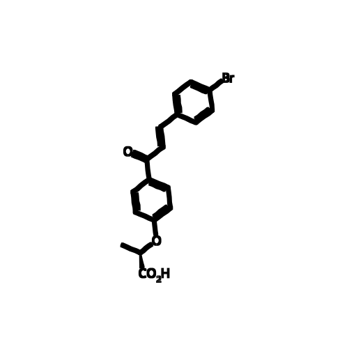 C[C@@H](Oc1ccc(C(=O)/C=C/c2ccc(Br)cc2)cc1)C(=O)O